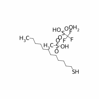 CCCCCCCCCCCCS.CS(=O)(=O)O.O.O=S(=O)(O)C(F)(F)F